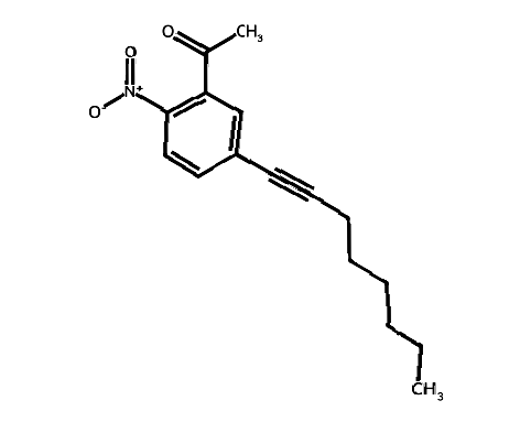 CCCCCCC#Cc1ccc([N+](=O)[O-])c(C(C)=O)c1